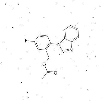 CC(=O)OCc1cc(F)ccc1-n1nnc2ccccc21